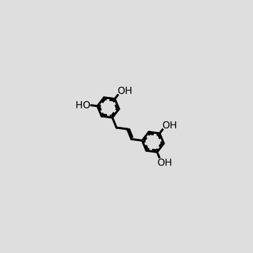 Oc1cc(O)cc(/C=C/Cc2cc(O)cc(O)c2)c1